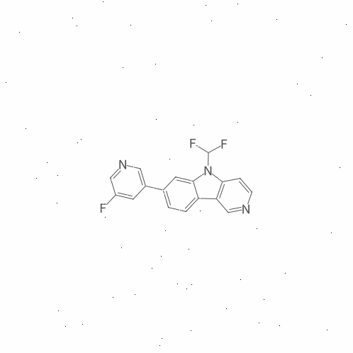 Fc1cncc(-c2ccc3c4cnccc4n(C(F)F)c3c2)c1